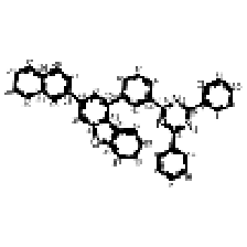 c1ccc(-c2nc(-c3ccccc3)nc(-c3cccc(-c4cc(-c5ccc6ccccc6c5)cc5oc6ccccc6c45)c3)n2)cc1